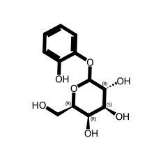 OC[C@H]1OC(Oc2ccccc2O)[C@H](O)[C@@H](O)[C@H]1O